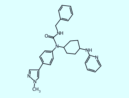 Cn1cc(-c2ccc(N(C(=O)NCc3ccccc3)C3CCC(Nc4ccccn4)CC3)cc2)cn1